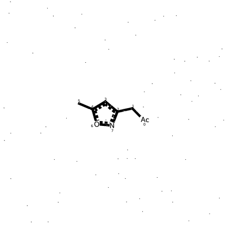 CC(=O)Cc1cc(C)on1